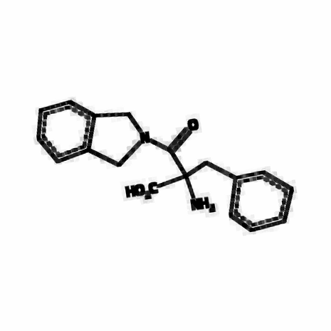 NC(Cc1ccccc1)(C(=O)O)C(=O)N1Cc2ccccc2C1